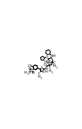 Cc1nc(NC(=O)C(C)(C)CC(C)(C)C[C@H](NC2CCCCC2)C(=O)OC2CCCC2)sc1-c1ccc(Cl)c(S(C)(=O)=O)c1